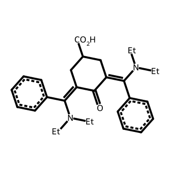 CCN(CC)C(=C1CC(C(=O)O)CC(=C(c2ccccc2)N(CC)CC)C1=O)c1ccccc1